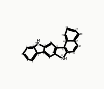 B1c2ccccc2-c2cc3c(cc21)-c1c(ccc2ccccc12)B3